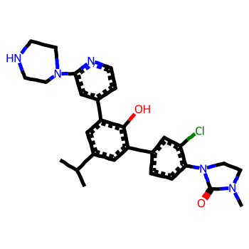 CC(C)c1cc(-c2ccnc(N3CCNCC3)c2)c(O)c(-c2ccc(N3CCN(C)C3=O)c(Cl)c2)c1